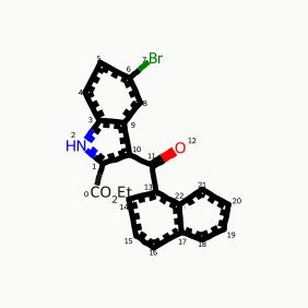 CCOC(=O)c1[nH]c2ccc(Br)cc2c1C(=O)c1cccc2ccccc12